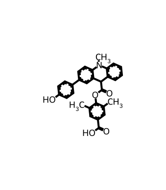 Cc1cc(C(=O)O)cc(C)c1OC(=O)C1c2ccccc2N(C)c2ccc(-c3ccc(O)cc3)cc21